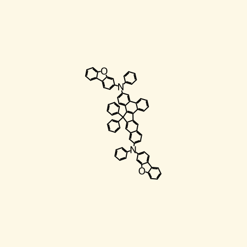 c1ccc(N(c2ccc3cc4c(cc3c2)C(c2ccccc2)(c2ccccc2)c2c-4c3ccccc3c3cc(N(c4ccccc4)c4ccc5c(c4)oc4ccccc45)ccc23)c2ccc3c(c2)oc2ccccc23)cc1